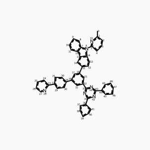 Cc1cccc(-n2c3ccccc3c3cc(-c4cc(-c5ccc(-c6ccccn6)cc5)cc(-c5nc(-c6ccccc6)nc(-c6ccccc6)n5)c4)ccc32)n1